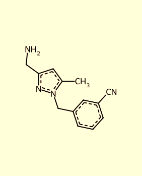 Cc1cc(CN)nn1Cc1cccc(C#N)c1